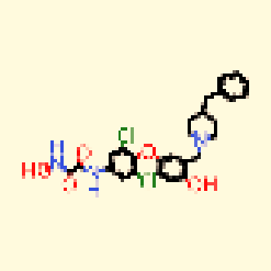 O=C(NO)C(=O)Nc1cc(Cl)c(Oc2ccc(O)c(CN3CCC(Cc4ccccc4)CC3)c2)c(Cl)c1